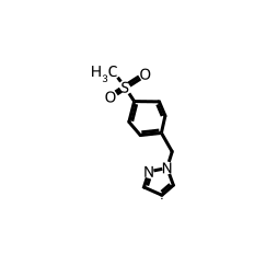 CS(=O)(=O)c1ccc(Cn2c[c]cn2)cc1